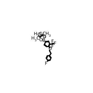 CC1(C)OB(c2ccc(OCCc3ccc(F)cc3)c(C(F)(F)F)c2)OC1(C)C